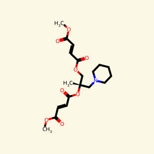 COC(=O)/C=C/C(=O)OC[C@](C)(CN1CCCCC1)OC(=O)/C=C/C(=O)OC